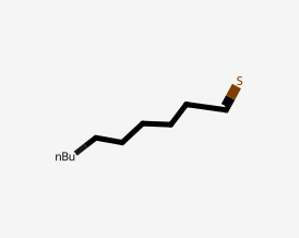 CCCCCCCCCC=S